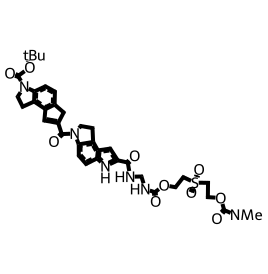 CNC(=O)OCCS(=O)(=O)CCOC(=O)NCNC(=O)c1cc2c3c(ccc2[nH]1)N(C(=O)C1=Cc2c(ccc4c2CCN4C(=O)OC(C)(C)C)C1)CC3